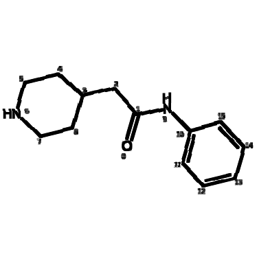 O=C(CC1CCNCC1)Nc1ccccc1